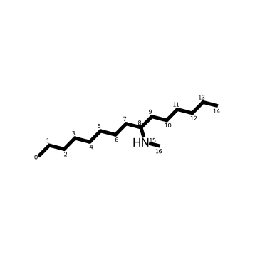 CCCCCCCCC(CCCCCC)NC